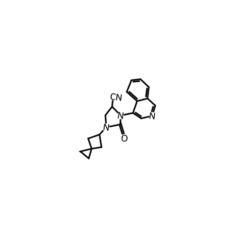 N#CC1CN(C2CC3(CC3)C2)C(=O)N1c1cncc2ccccc12